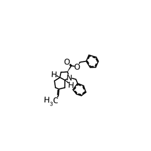 CC=C1CC[C@@H]2C[C@@H](C(=O)OCc3ccccc3)N(Cc3ccccc3)[C@@H]2C1